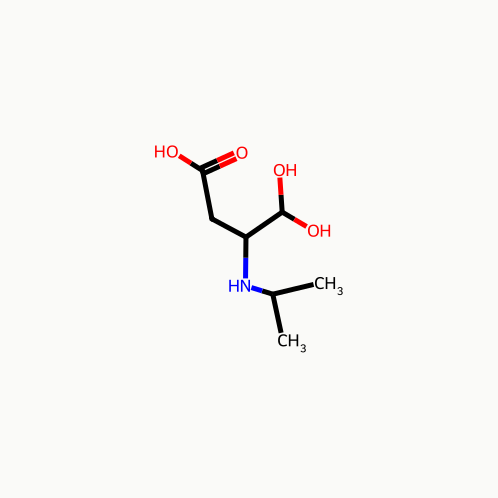 CC(C)NC(CC(=O)O)C(O)O